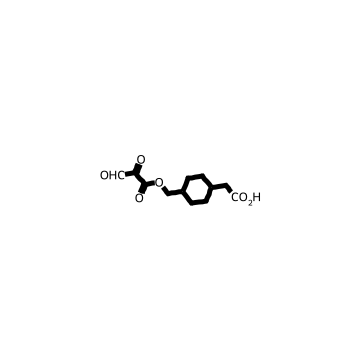 O=CC(=O)C(=O)OCC1CCC(CC(=O)O)CC1